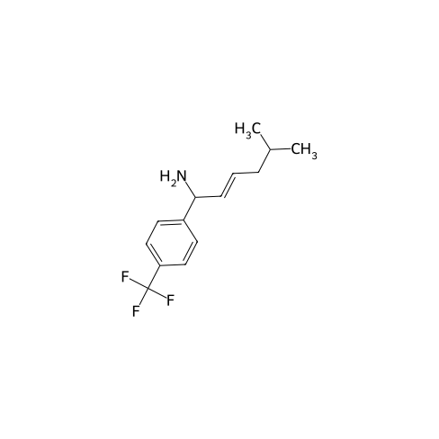 CC(C)C/C=C/C(N)c1ccc(C(F)(F)F)cc1